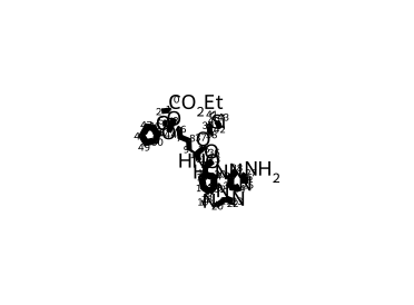 CCOC(=O)[C@H](C)OP(=O)(CCCC[C@H](NC(=O)c1ccc(N(C)Cc2cnc3nc(N)nc(N)c3n2)cc1)C(=O)OCC[Si](C)(C)C)Oc1ccccc1